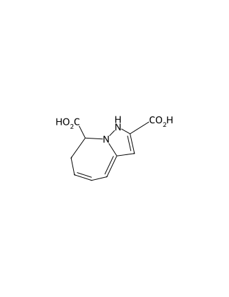 O=C(O)C1=CC2=CC=CCC(C(=O)O)N2N1